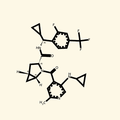 Cc1cc(C(=O)N2[C@@H](C(=O)N[C@@H](c3ccc(C(F)(F)F)cc3F)C3CC3)C[C@H]3C[C@H]32)c(NC2CC2)cn1